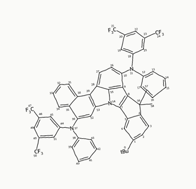 CC(C)(C)c1ccc2c(c1)-c1c(c3c(N(c4ccccc4)c4cc(C(F)(F)F)cc(C(F)(F)F)c4)ccc4c5c6ccccc6c(N(c6ccccc6)c6cc(C(F)(F)F)cc(C(F)(F)F)c6)cc5n1c34)C2(C)C